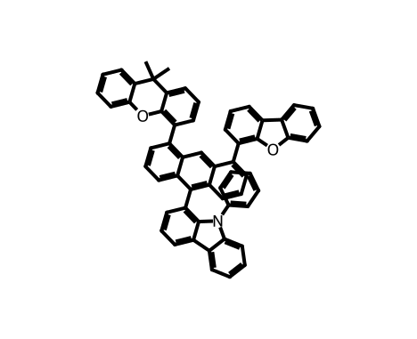 CC1(C)c2ccccc2Oc2c(-c3cccc4c(-c5cccc6c7ccccc7n(-c7ccccc7)c56)c5cccc(-c6cccc7c6oc6ccccc67)c5cc34)cccc21